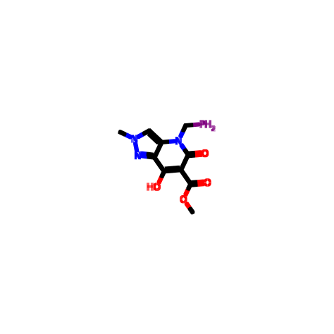 COC(=O)c1c(O)c2nn(C)cc2n(CP)c1=O